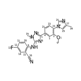 COc1cc(-c2nc(Nc3ccc(F)cc3C#N)n(C)n2)ccc1-n1cnc(C)c1